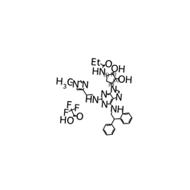 CCC(=O)N[C@H]1C[C@@H](n2cnc3c(NCC(c4ccccc4)c4ccccc4)nc(NCCc4cn(C)cn4)nc32)[C@H](O)[C@@H]1O.O=C(O)C(F)(F)F